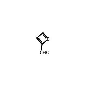 O=C[C]1=C[CH]=[Bi]1